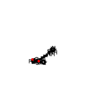 O=S(=O)(c1ccc(F)cc1)N(CCCCCCCNC(=S)Nc1ccncc1)OC1CCCCC1